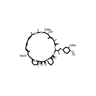 CCO[C@@H]1CC[C@@H](C[C@@H](C)[C@@H]2CC(=O)[C@H](C)/C=C(\C)[C@@H](O)[C@@H](OC)C[C@H](C)C[C@H](C)/C=C/C=C/C=C(\C)[C@@H](OC)C[C@@H]3CC[C@@H](C)[C@@](O)(O3)C(=O)C(=O)N3CCCC[C@H]3C(=O)O2)C[C@H]1OC